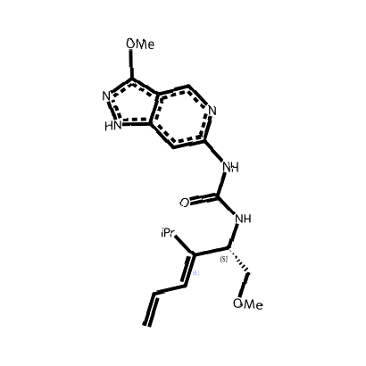 C=C/C=C(\C(C)C)[C@@H](COC)NC(=O)Nc1cc2[nH]nc(OC)c2cn1